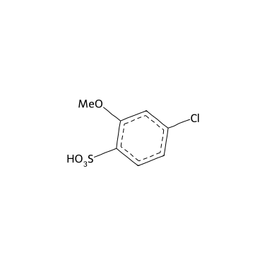 COc1cc(Cl)ccc1S(=O)(=O)O